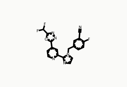 N#Cc1cc(Cn2ccnc2-c2cc(-c3nnc(C(F)F)o3)ccn2)ccc1F